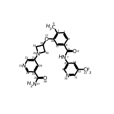 Cc1ccc(C(=O)Nc2cncc(C(F)(F)F)c2)cc1OC1CN(c2cncc(C(N)=O)c2)C1